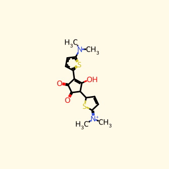 CN(C)c1ccc(C2=C(O)C(C3C=CC(=[N+](C)C)S3)C(=O)C2=O)s1